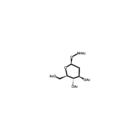 CC(=O)NO[C@H]1C[C@@H](OC(C)=O)[C@H](OC(C)=O)[C@@H](COC(C)=O)O1